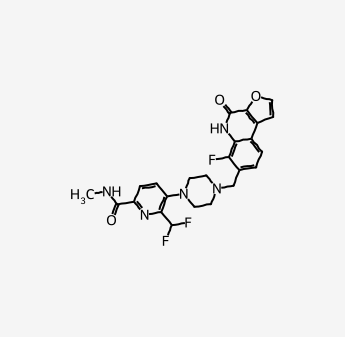 CNC(=O)c1ccc(N2CCN(Cc3ccc4c([nH]c(=O)c5occc54)c3F)CC2)c(C(F)F)n1